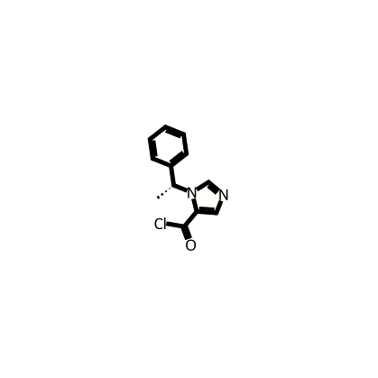 C[C@H](c1ccccc1)n1cncc1C(=O)Cl